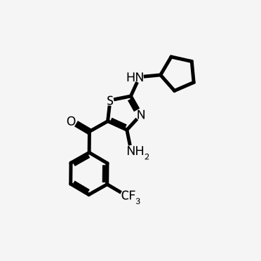 Nc1nc(NC2CCCC2)sc1C(=O)c1cccc(C(F)(F)F)c1